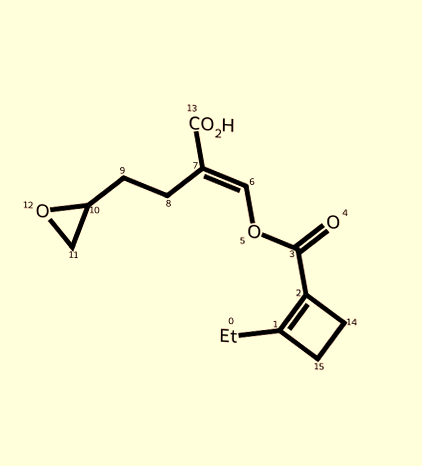 CCC1=C(C(=O)OC=C(CCC2CO2)C(=O)O)CC1